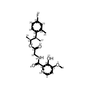 COc1ccnc(C(=O)NCC(=O)O[C@@H](C)[C@H](C)c2ccc(F)cc2C)c1O